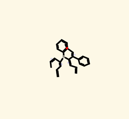 C=C/C=C(\C(=C/C=C)N(C(/C=C\C)=C/C=C)c1ccccc1)c1ccccc1